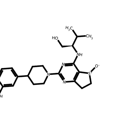 CC(C)[C@H](CO)Nc1nc(N2CCC(c3cccc(O)c3)CC2)nc2c1[S+]([O-])CC2